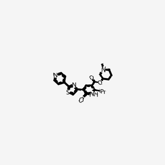 CC(C)c1[nH]c(=O)c(-c2csc(-c3ccncc3)n2)cc1C(=O)OC1CCCN(C)C1